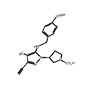 C#Cc1nn([C@H]2CCN(C(=O)O)C2)c(NCc2ccc(OC)cc2)c1C#N